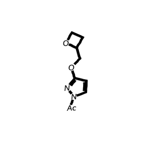 CC(=O)n1ccc(OCC2CCO2)n1